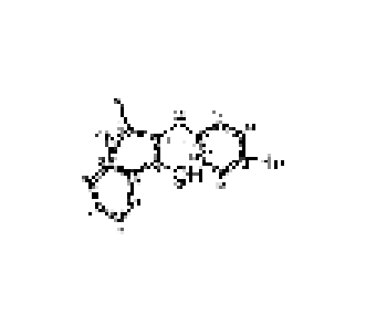 Cc1nc2ccccc2c(O)c1Cc1ccc(I)cc1